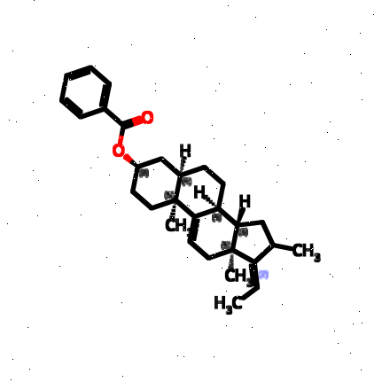 C/C=C1/C(C)C[C@H]2[C@@H]3CC[C@@H]4C[C@H](OC(=O)c5ccccc5)CC[C@]4(C)C3=CC[C@]12C